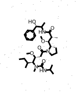 CCC(C)[C@@H]([C@@H](CC(=O)N1CCC[C@H]1[C@H](OC)[C@@H](C)C(=O)NC(C)[C@@H](O)c1ccccc1)OC)N(C)C(=O)NC(C)C